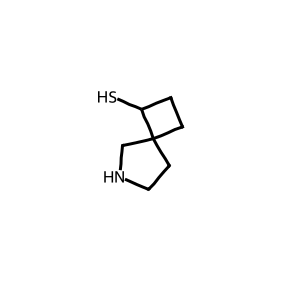 SC1CCC12CCNC2